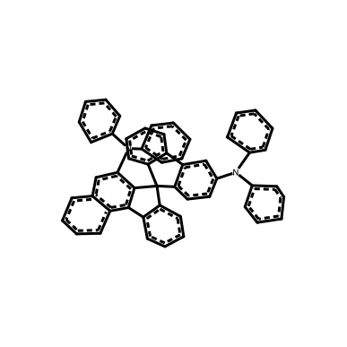 c1ccc(N(c2ccccc2)c2ccc3c(c2)-c2ccccc2C32c3ccccc3-c3c2c(N(c2ccccc2)c2ccccc2)cc2ccccc32)cc1